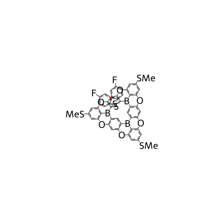 CSc1cc2c3c(c1)Oc1cc4c(cc1B3c1cc3c(cc1O2)Oc1cc(SC)cc2c1B3c1sc3ccc(F)cc3c1O2)B1c2sc3ccc(F)cc3c2Oc2cc(SC)cc(c21)O4